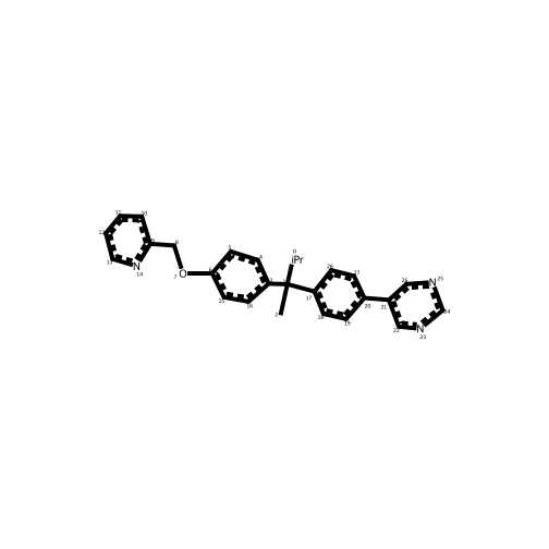 CC(C)C(C)(c1ccc(OCc2ccccn2)cc1)c1ccc(-c2cncnc2)cc1